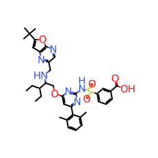 CCC(CC)C(COc1cc(-c2c(C)cccc2C)nc(NS(=O)(=O)c2cccc(C(=O)O)c2)n1)NCc1cnc2oc(C(C)(C)C)cc2n1